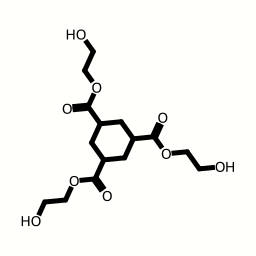 O=C(OCCO)C1CC(C(=O)OCCO)CC(C(=O)OCCO)C1